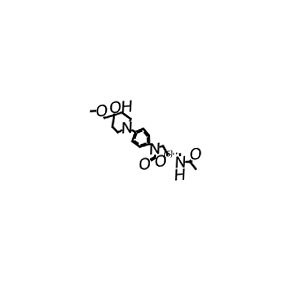 COCC1(O)CCN(c2ccc(N3C[C@H](CNC(C)=O)OC3=O)cc2)CC1